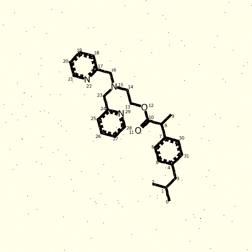 CC(C)Cc1ccc(C(C)C(=O)OCCN(Cc2ccccn2)Cc2ccccn2)cc1